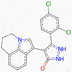 O=c1[nH][nH]c(-c2ccc(Cl)cc2Cl)c1-c1cn2c3c(cccc13)CCC2